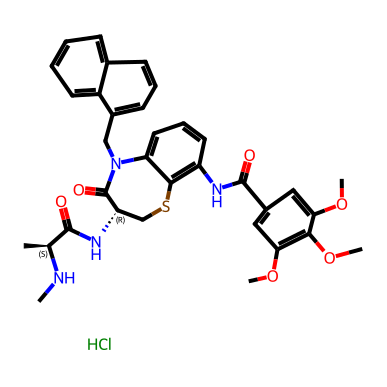 CN[C@@H](C)C(=O)N[C@H]1CSc2c(NC(=O)c3cc(OC)c(OC)c(OC)c3)cccc2N(Cc2cccc3ccccc23)C1=O.Cl